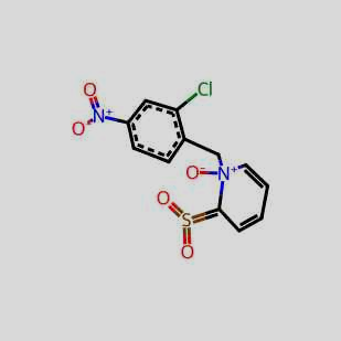 O=[N+]([O-])c1ccc(C[N+]2([O-])C=CC=CC2=S(=O)=O)c(Cl)c1